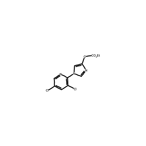 CCOC(=O)Oc1cn(-c2ncc(Cl)cc2Cl)cn1